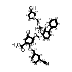 CC(=O)c1cc(Cl)c(OC[C@@]2(OCCCN3CCC(O)C3)C=CC=C(c3ccccc3)C2(C)C)cc1OCc1cncc(C#N)c1